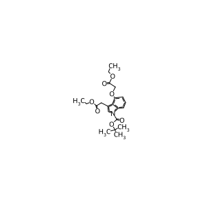 CCOC(=O)COc1cccc2c1c(CC(=O)OCC)cn2C(=O)OC(C)(C)C